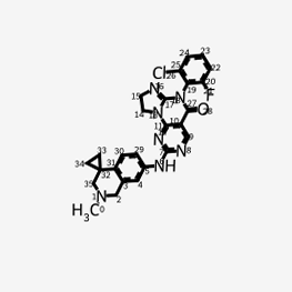 CN1Cc2cc(Nc3ncc4c(n3)N3CCN=C3N(c3c(F)cccc3Cl)C4=O)ccc2C2(CC2)C1